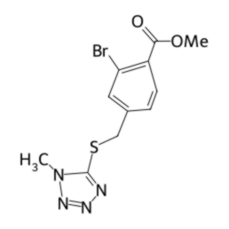 COC(=O)c1ccc(CSc2nnnn2C)cc1Br